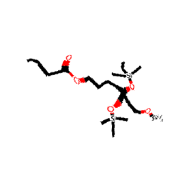 CC=CC(=O)OCCCC(CO[SiH3])(O[Si](C)(C)C)O[Si](C)(C)C